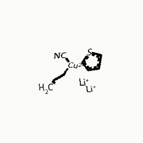 C=C[CH2][Cu-2]([C]#N)[c]1cccs1.[Li+].[Li+]